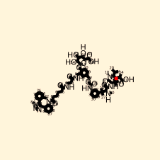 CNC(C(=O)NC(C(=O)N(C)C(/C=C(\C)C(=O)O)C(C)C)C(C)(C)C)C(C)(C)c1cccc(NC(=O)OCc2ccc(OC3OC(C(=O)O)C(O)C(O)C3O)c(CNC(=O)CCNC(=O)CCCCC(=O)N3Cc4ccccc4-c4c(nnn4C)-c4ccccc43)c2)c1